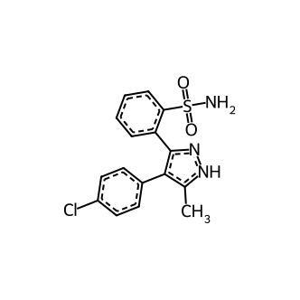 Cc1[nH]nc(-c2ccccc2S(N)(=O)=O)c1-c1ccc(Cl)cc1